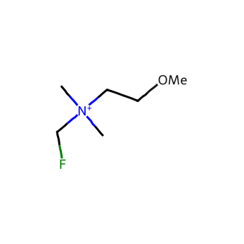 COCC[N+](C)(C)CF